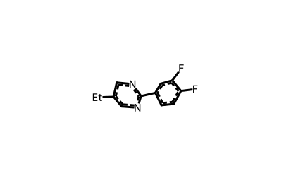 CCc1cnc(-c2ccc(F)c(F)c2)nc1